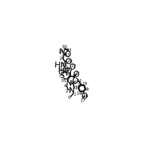 CCN1CCN(C2=C(C(=O)OCc3ccc(OC)cc3)N3C(=O)C(NC(=O)Cc4ncco4)[C@@H]3SC2)CC1